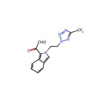 O=CC(=O)c1c2ccccc2cn1CCn1nnc(C(F)(F)F)n1